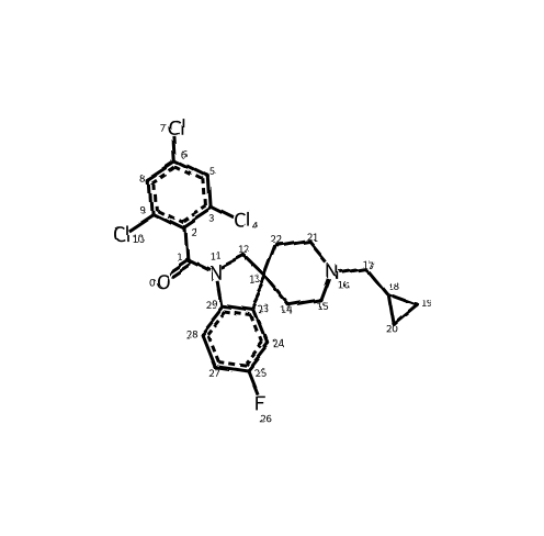 O=C(c1c(Cl)cc(Cl)cc1Cl)N1CC2(CCN(CC3CC3)CC2)c2cc(F)ccc21